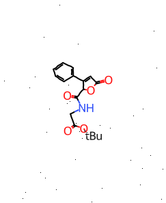 CC(C)(C)OC(=O)CNC(=O)C1OC(=O)C=C1c1ccccc1